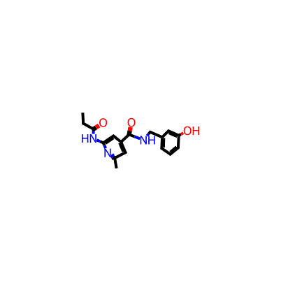 CCC(=O)Nc1cc(C(=O)NCc2cccc(O)c2)cc(C)n1